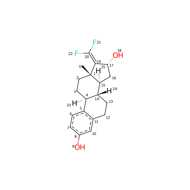 C[C@]12CC[C@@H]3c4ccc(O)cc4CC[C@H]3[C@@H]1C[C@@H](O)C2=C(F)F